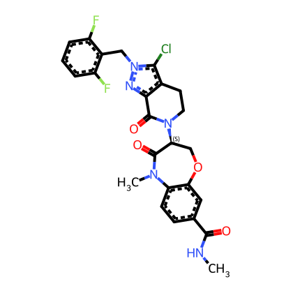 CNC(=O)c1ccc2c(c1)OC[C@H](N1CCc3c(nn(Cc4c(F)cccc4F)c3Cl)C1=O)C(=O)N2C